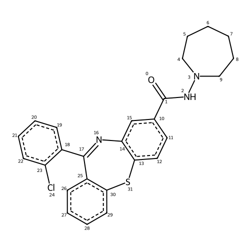 O=C(NN1CCCCCC1)c1ccc2c(c1)N=C(c1ccccc1Cl)c1ccccc1S2